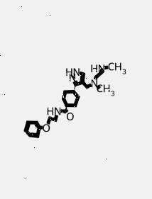 CNCCN(C)Cc1c[nH]nc1[C@H]1CC[C@H](C(=O)NCCOc2ccccc2)CC1